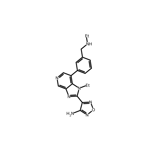 CCNCc1cccc(-c2cncc3nc(-c4nonc4N)n(CC)c23)c1